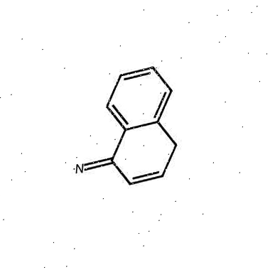 [N]=C1C=CCc2ccccc21